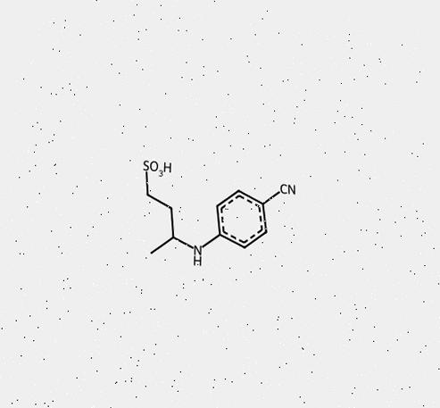 CC(CCS(=O)(=O)O)Nc1ccc(C#N)cc1